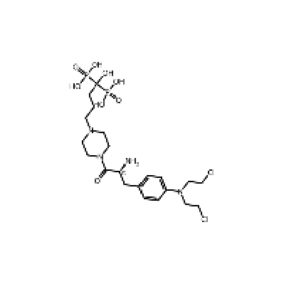 N[C@@H](Cc1ccc(N(CCCl)CCCl)cc1)C(=O)N1CCN(CCCC(O)(P(=O)(O)O)P(=O)(O)O)CC1